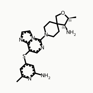 Cc1cc(Sc2cnc(N3CCC4(CC3)CO[C@@H](C)[C@H]4N)n3ccnc23)cc(N)n1